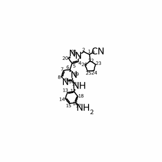 N#CC(Cn1cc(-c2ccnc(Nc3cccc(N)c3)n2)cn1)C1CCCC1